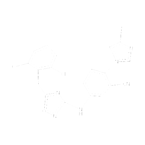 Cc1cn(-c2ccc(Nc3noc(Cc4c(Cl)cccc4Cl)n3)cc2C#N)cn1